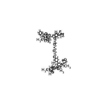 CCN(c1cc(-c2ccc(OCCCOCCCOCCCOc3cc(C4=C(C)N=CC4)ccc3CCC(=O)C3CCCN3C(=O)[C@H](C(C)C)N3Cc4ccccc4C3=O)cc2)cc(C(=O)NCc2c(C)cc(C)[nH]c2=O)c1C)C1CCOCC1